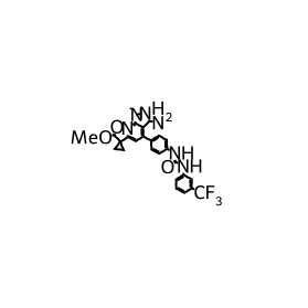 COC(=O)C1(c2cc(-c3ccc(NC(=O)Nc4cccc(C(F)(F)F)c4)cc3)c3c(N)nn(C)c3n2)CC1